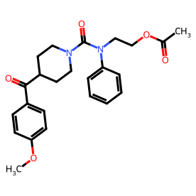 COc1ccc(C(=O)C2CCN(C(=O)N(CCOC(C)=O)c3ccccc3)CC2)cc1